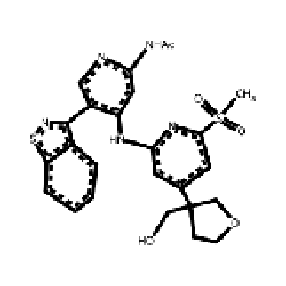 CC(=O)Nc1cc(Nc2cc(C3(CO)CCOC3)cc(S(C)(=O)=O)n2)c(-c2nsc3ccccc23)cn1